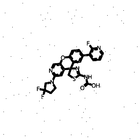 O=C(O)NC1=NC2(CS1)c1cc(-c3cccnc3F)ccc1Oc1cnc(N3CCC(F)(F)C3)cc12